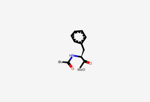 CCC(C)C(=O)N[C@@H](Cc1ccccc1)C(=O)OC